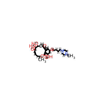 C[C@H]1C/C=C\C(=O)[C@@H](O)[C@@H](O)C[C@H]2O[C@@H]2c2cc(OCCCCN3CCN(C)CC3)cc(O)c2C(=O)O1